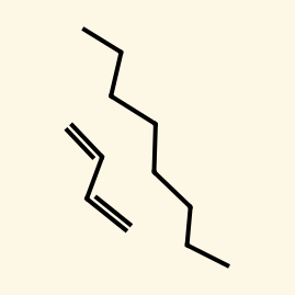 C=CC=C.CCCCCCCC